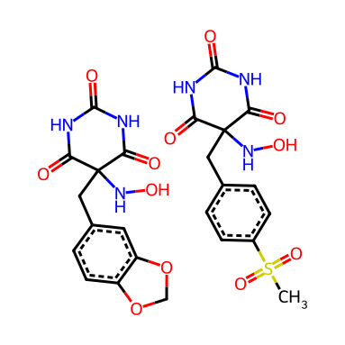 CS(=O)(=O)c1ccc(CC2(NO)C(=O)NC(=O)NC2=O)cc1.O=C1NC(=O)C(Cc2ccc3c(c2)OCO3)(NO)C(=O)N1